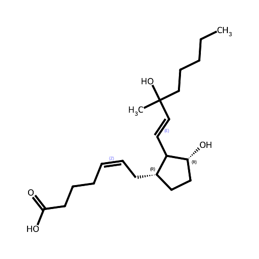 CCCCCC(C)(O)/C=C/C1[C@@H](C/C=C\CCCC(=O)O)CC[C@H]1O